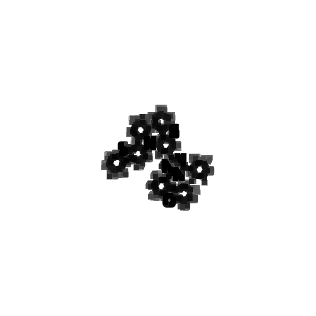 c1ccc(-c2nc(-c3cc(-n4c5ccccc5c5c6sc7ccccc7c6ccc54)c4c(c3)sc3ccccc34)nc(-c3cccc4oc5ccccc5c34)n2)cc1